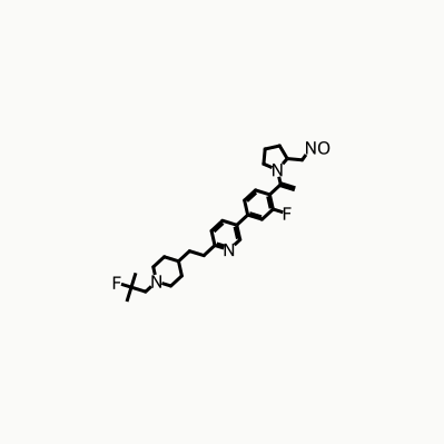 C=C(c1ccc(-c2ccc(CCC3CCN(CC(C)(C)F)CC3)nc2)cc1F)N1CCCC1CN=O